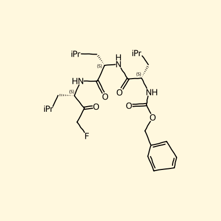 CC(C)C[C@H](NC(=O)[C@H](CC(C)C)NC(=O)[C@H](CC(C)C)NC(=O)OCc1ccccc1)C(=O)CF